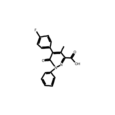 Cc1c(C(=O)O)nn(-c2ccccc2)c(=O)c1-c1ccc(F)cc1